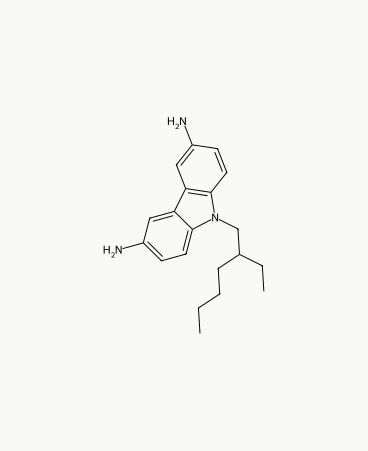 CCCCC(CC)Cn1c2ccc(N)cc2c2cc(N)ccc21